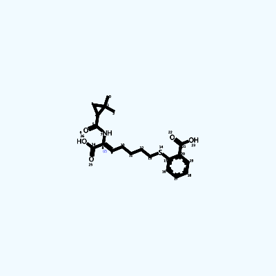 CC1(C)CC1C(=O)N/C(=C\CCCCSc1ccccc1C(=O)O)C(=O)O